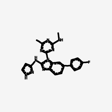 CNc1nc(C)nc(-n2c(Nc3cc[nH]n3)nc3ccc(-c4ccc(F)cc4)cc32)n1